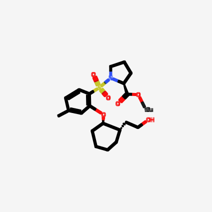 Cc1ccc(S(=O)(=O)N2CCC[C@H]2C(=O)OC(C)(C)C)c(O[C@@H]2CCCC[C@H]2CCO)c1